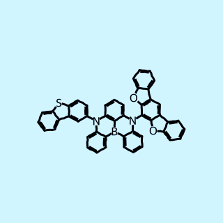 c1ccc2c(c1)B1c3ccccc3N(c3c4oc5ccccc5c4cc4c3oc3ccccc34)c3cccc(c31)N2c1ccc2sc3ccccc3c2c1